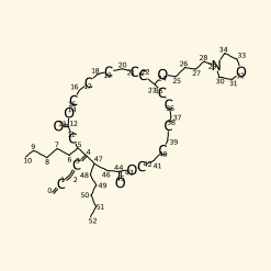 C=C=C=C=C1C(CCCCC)CC(=O)OCCCCCCCCC(OCCCCN2CCOCC2)CCCCCCCCOC(=O)CC1CCCCC